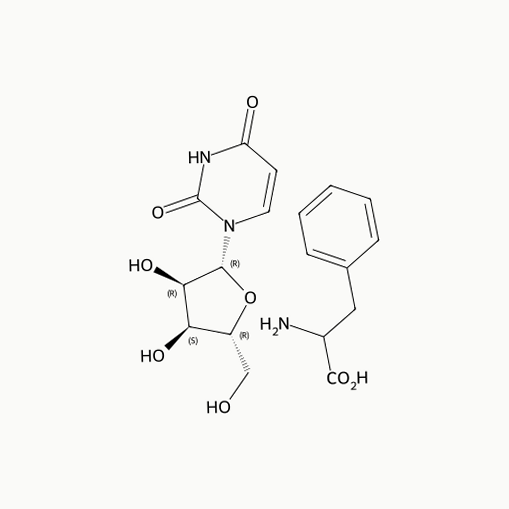 NC(Cc1ccccc1)C(=O)O.O=c1ccn([C@@H]2O[C@H](CO)[C@@H](O)[C@H]2O)c(=O)[nH]1